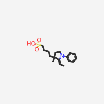 C/C=C1\N(c2ccccc2)CCC1(C)CCCCS(=O)(=O)O